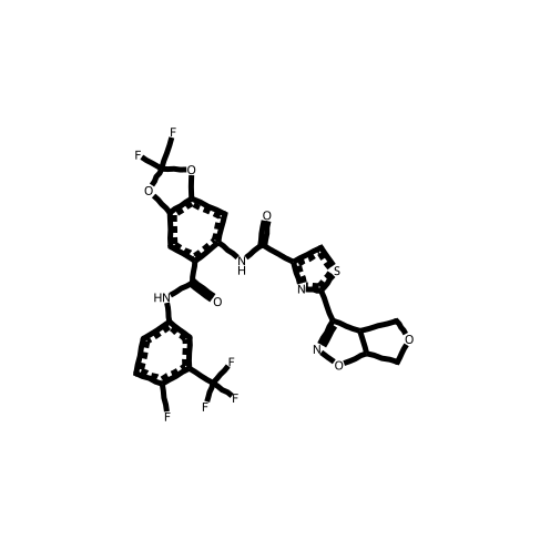 O=C(Nc1cc2c(cc1C(=O)Nc1ccc(F)c(C(F)(F)F)c1)OC(F)(F)O2)c1csc(C2=NOC3COCC23)n1